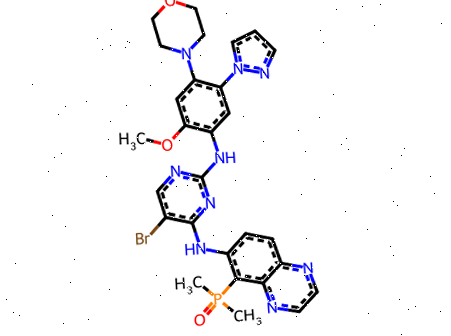 COc1cc(N2CCOCC2)c(-n2cccn2)cc1Nc1ncc(Br)c(Nc2ccc3nccnc3c2P(C)(C)=O)n1